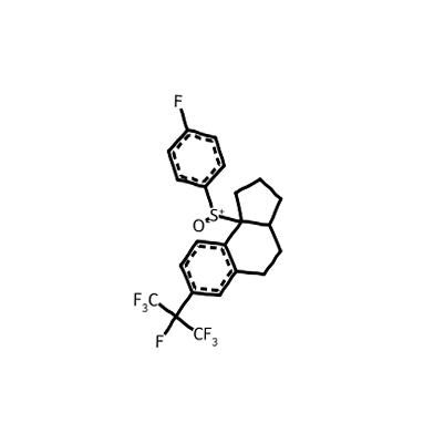 [O-][S+](c1ccc(F)cc1)C12CCCC1CCc1cc(C(F)(C(F)(F)F)C(F)(F)F)ccc12